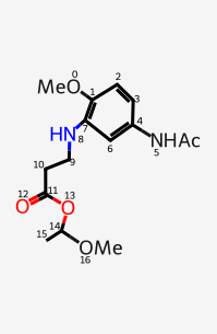 COc1ccc(NC(C)=O)cc1NCCC(=O)OC(C)OC